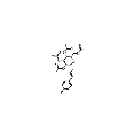 CC(=O)OC[C@H]1O[C@H](C/C=C/c2ccc(I)cc2)[C@@H](OC(C)=O)[C@H](OC(C)=O)[C@@H]1OC(C)=O